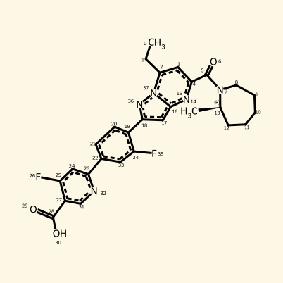 CCc1cc(C(=O)N2CCCCC[C@H]2C)nc2cc(-c3ccc(-c4cc(F)c(C(=O)O)cn4)cc3F)nn12